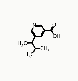 CC(C)C(C)c1cncc(C(=O)O)c1